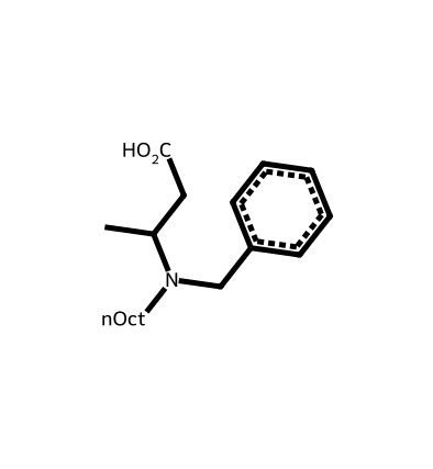 CCCCCCCCN(Cc1ccccc1)C(C)CC(=O)O